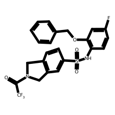 O=C(N1Cc2ccc(S(=O)(=O)Nc3ccc(F)cc3OCc3ccccc3)cc2C1)C(F)(F)F